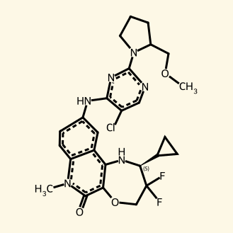 COCC1CCCN1c1ncc(Cl)c(Nc2ccc3c(c2)c2c(c(=O)n3C)OCC(F)(F)[C@H](C3CC3)N2)n1